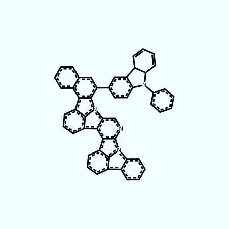 C1=CC2c3cc(-c4cc5ccccc5c5c6cccc7c8c9c%10cccc%11c%12ccccc%12n(c9ncc8n(c45)c76)c%11%10)ccc3N(c3ccccc3)C2C=C1